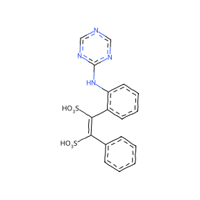 O=S(=O)(O)C(=C(c1ccccc1Nc1ncncn1)S(=O)(=O)O)c1ccccc1